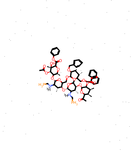 [3H]N(CP)C1[C@H](O[C@@H]2C(CO[C@@H]3OC(COCc4ccccc4)[C@@H](C)[C@H](C)C3OCc3ccccc3)O[C@@H](OC3[C@H](C)OC(C(=O)Oc4ccccc4)[C@@](C)(O)[C@@H]3OC(C)=O)C(N([3H])CP)[C@H]2C)OC(C)[C@@H](O[C@@H]2OC(C(C)=O)[C@H](C)[C@H](C)C2OC(=O)c2ccccc2)[C@@H]1C